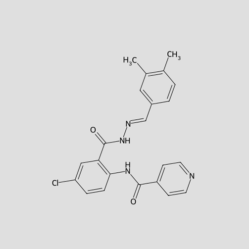 Cc1ccc(C=NNC(=O)c2cc(Cl)ccc2NC(=O)c2ccncc2)cc1C